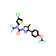 CC1CN(C(=O)N(c2cc(Cl)cs2)C(F)F)N=C1c1ccc(OC(F)F)cc1